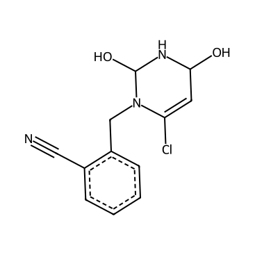 N#Cc1ccccc1CN1C(Cl)=CC(O)NC1O